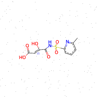 Cc1cccc(S(=O)(=O)NC(=O)/C(O)=C/C(=O)O)n1